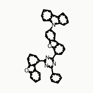 c1ccc(-c2nc(-c3cccc4c3oc3ccc(-n5c6ccccc6c6ccccc65)cc34)nc(-c3cccc4oc5ccccc5c34)n2)cc1